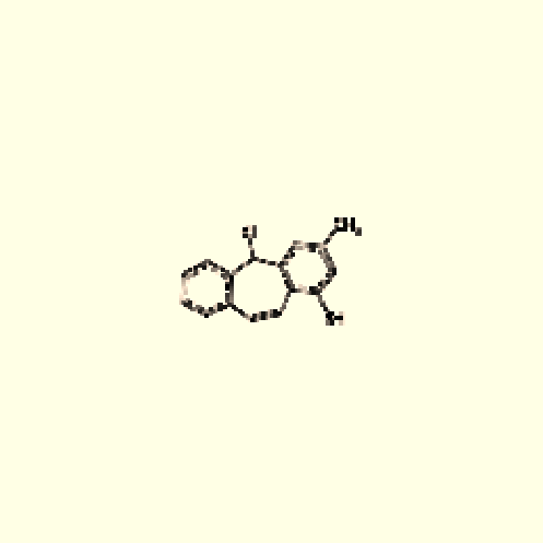 Cc1cc(S)c2c(c1)C(Cl)c1ccccc1C=C2